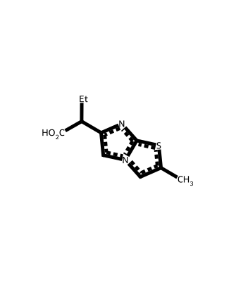 CCC(C(=O)O)c1cn2cc(C)sc2n1